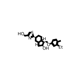 CCc1cc(OC[C@@H]2[C@H]3CC[C@H](c4nc(CO)cs4)C[C@H]3C[C@@H]2O)ccc1C